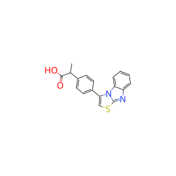 CC(C(=O)O)c1ccc(-c2csc3nc4ccccc4n23)cc1